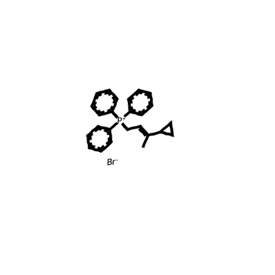 C/C(=C\C[P+](c1ccccc1)(c1ccccc1)c1ccccc1)C1CC1.[Br-]